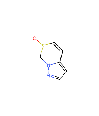 [O-][S+]1C=Cc2ccnn2C1